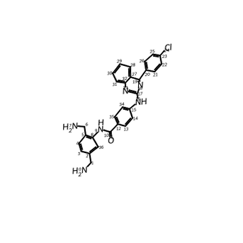 NCc1ccc(CN)c(NC(=O)c2ccc(Nc3nc(-c4ccc(Cl)cc4)c4ccccc4n3)cc2)c1